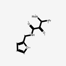 CCCC(NC)C(=O)C(=O)NCc1ccco1